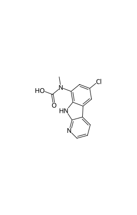 CN(C(=O)O)c1cc(Cl)cc2c1[nH]c1ncccc12